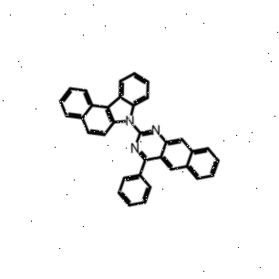 c1ccc(-c2nc(-n3c4ccccc4c4c5ccccc5ccc43)nc3cc4ccccc4cc23)cc1